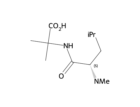 CN[C@@H](CC(C)C)C(=O)NC(C)(C)C(=O)O